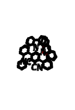 N#Cc1c(C#N)c(-c2ccccc2-c2ccccc2)c(-n2c3ccccc3c3ccccc32)c(-n2c3ccccc3c3ccccc32)c1-c1ccccc1-c1ccccc1